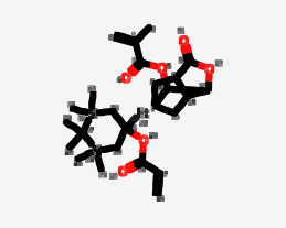 C=C(C)C(=O)OC1C2CC3C(=O)OC1C3C2.C=CC(=O)OC1(CC)C[Si](C)(C)C(C)(C)[Si](C)(C)C1